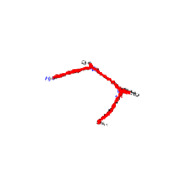 COCCOCCOCCOCCOCCOCCOCCOCCOCCOCCOCCNC(=O)CCOCC(COCC=O)(COCCCC=O)NC(=O)COCCOCCOCCOCCOCCOCCOCCOCCOCCOCCOCCNC(=O)CCOCC(COCCC=O)NC(=O)CCOCCOCCOCCOCCOCCOCCOCCOCCOCCOCCOCCOCCN